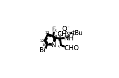 CC(C)(C)[S+]([O-])N[C@@](C)(CC=O)c1nc(Br)ccc1F